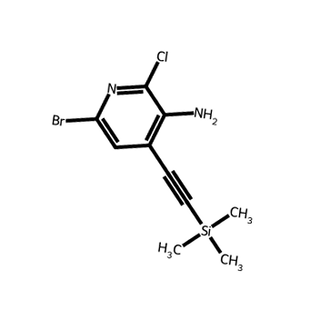 C[Si](C)(C)C#Cc1cc(Br)nc(Cl)c1N